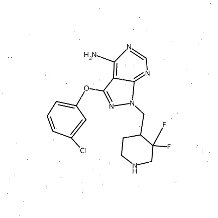 Nc1ncnc2c1c(Oc1cccc(Cl)c1)nn2CC1CCNCC1(F)F